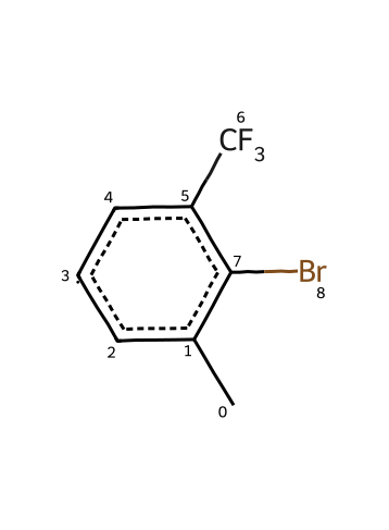 Cc1c[c]cc(C(F)(F)F)c1Br